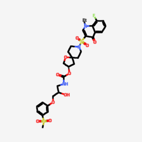 CCn1cc(S(=O)(=O)N2CCC3(CC2)C[C@@H](OC(=O)NCC(O)COc2cccc(S(C)(=O)=O)c2)CO3)c(=O)c2cccc(F)c21